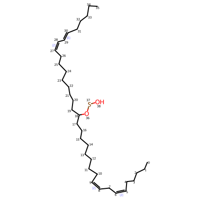 CCCCC/C=C\C/C=C\CCCCCCCCC(CCCCCCCC/C=C\C=C\CCCCC)OSO